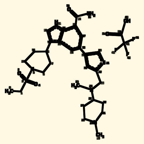 CCS(=O)(=O)N1CCC(c2c[nH]c3c(C(N)=O)cc(-c4csc(CN(C)C5CCN(C)CC5)c4)cc23)CC1.O=C(O)C(F)(F)F